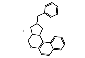 Cl.c1ccc(CN2CC3COc4ccc5ccccc5c4C3C2)cc1